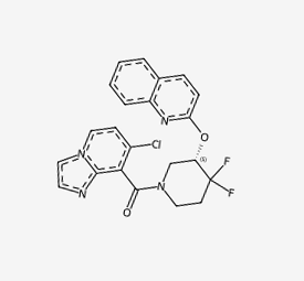 O=C(c1c(Cl)ccn2ccnc12)N1CCC(F)(F)[C@@H](Oc2ccc3ccccc3n2)C1